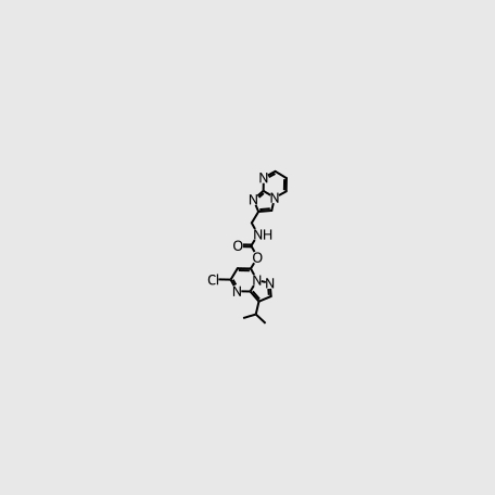 CC(C)c1cnn2c(OC(=O)NCc3cn4cccnc4n3)cc(Cl)nc12